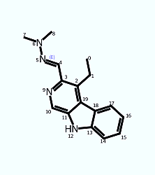 CCc1c(/C=N/N(C)C)ncc2[nH]c3ccccc3c12